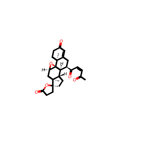 CC(=O)/C=C\C(=O)[C@@H]1CC2=CC(=O)CC[C@]2(C)[C@@]23O[C@@H]2C[C@@]2(C)[C@@H](CC[C@@]24CCC(=O)O4)[C@H]13